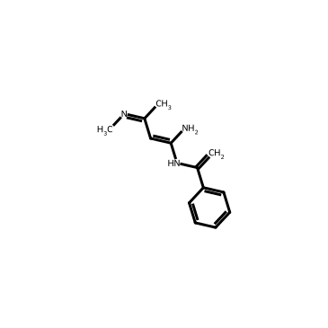 C=C(N/C(N)=C/C(C)=N\C)c1ccccc1